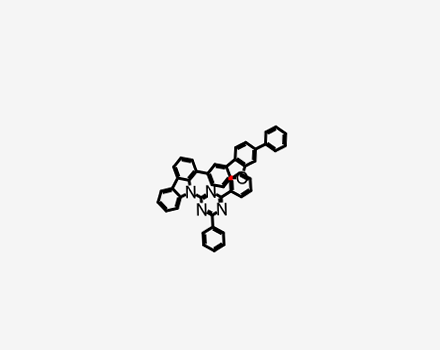 c1ccc(-c2ccc3c(c2)oc2ccc(-c4cccc5c6ccccc6n(-c6nc(-c7ccccc7)nc(-c7ccccc7)n6)c45)cc23)cc1